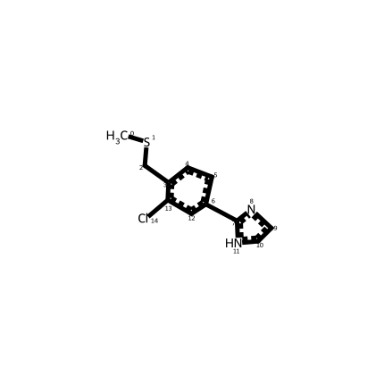 CSCc1ccc(-c2ncc[nH]2)cc1Cl